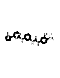 Cc1ccc(NC(=O)Nc2cccc(Nc3nccc(-c4ccc[nH]4)n3)c2)cc1C(=O)O